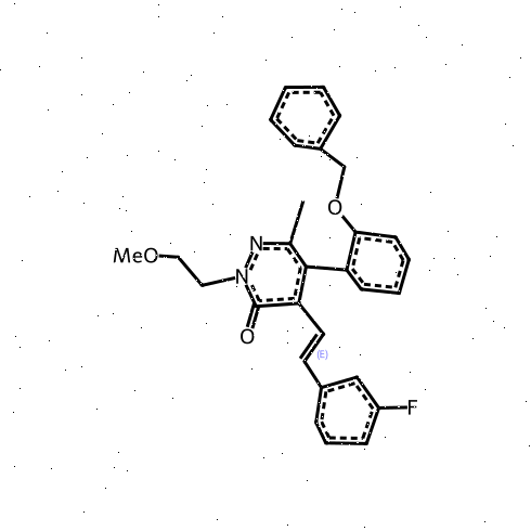 COCCn1nc(C)c(-c2ccccc2OCc2ccccc2)c(/C=C/c2cccc(F)c2)c1=O